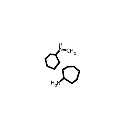 CNC1CCCCC1.NC1CCCCCC1